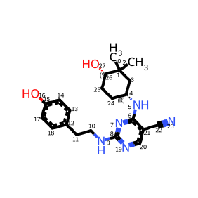 CC1(C)C[C@H](Nc2nc(NCCc3ccc(O)cc3)ncc2C#N)CC[C@@H]1O